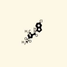 Cn1cc(S(N)(=O)=O)cc1C(=O)N[C@@H]1CCc2cc(Cl)ccc21